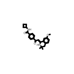 COc1ccc2c(c1)C(=CC(=O)c1ccc(C(=O)NC3CCC3)cc1)NC(C)(C)C2